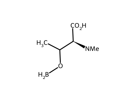 BOC(C)[C@H](NC)C(=O)O